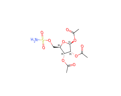 CC(=O)O[C@@H]1O[C@H](COS(N)(=O)=O)[C@@H](OC(C)=O)[C@H]1OC(C)=O